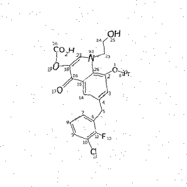 CC(C)Oc1cc(Cc2cccc(Cl)c2F)cc2c(=O)c(OC(=O)O)cn(CCO)c12